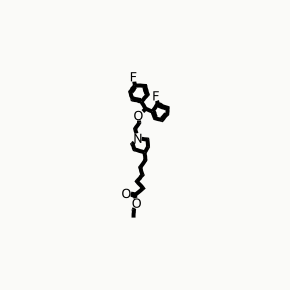 CCOC(=O)CCCCCC1CCN(CCOC(c2ccc(F)cc2)c2ccccc2F)CC1